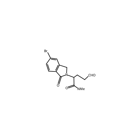 CNC(=O)C(CCC=O)N1Cc2cc(Br)ccc2C1=O